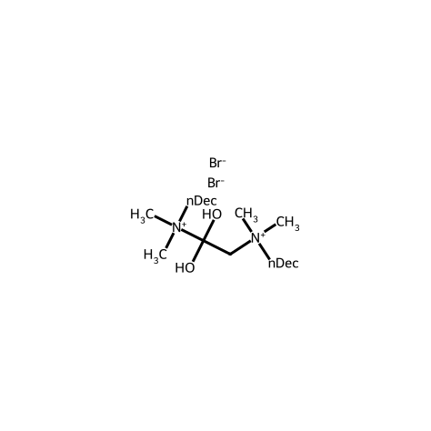 CCCCCCCCCC[N+](C)(C)CC(O)(O)[N+](C)(C)CCCCCCCCCC.[Br-].[Br-]